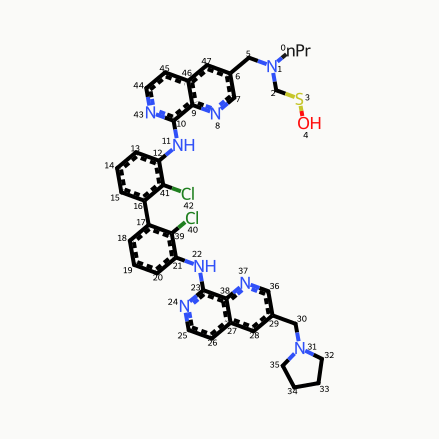 CCCN(CSO)Cc1cnc2c(Nc3cccc(-c4cccc(Nc5nccc6cc(CN7CCCC7)cnc56)c4Cl)c3Cl)nccc2c1